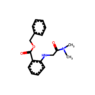 CN(C)C(=O)CNc1ccccc1C(=O)OCc1ccccc1